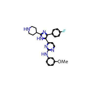 COc1cccc(Nc2nccc(-c3[nH]c(C4CCNCC4)nc3-c3ccc(F)cc3)n2)c1